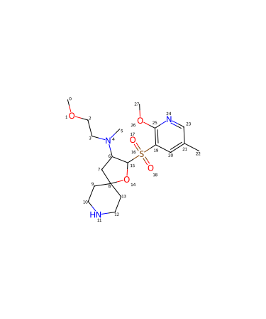 COCCN(C)C1CC2(CCNCC2)OC1S(=O)(=O)c1cc(C)cnc1OC